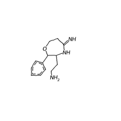 N=C1CCOC(c2ccccc2)C(CCN)N1